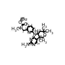 CN(Cc1cccc(N2c3nc(N)ncc3[C@@]3(C)COC(C)(C)C[C@@H]23)n1)C(=O)OC(C)(C)C